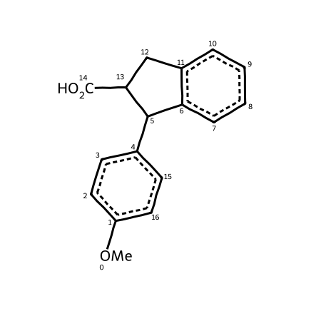 COc1ccc(C2c3ccccc3CC2C(=O)O)cc1